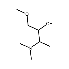 COCC(O)C(C)N(C)C